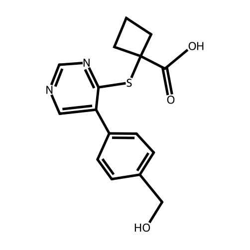 O=C(O)C1(Sc2ncncc2-c2ccc(CO)cc2)CCC1